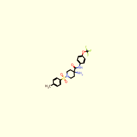 Cc1ccc(S(=O)(=O)N2CCC(N)(C(=O)Nc3ccc(OC(F)(F)F)cc3)CC2)cc1